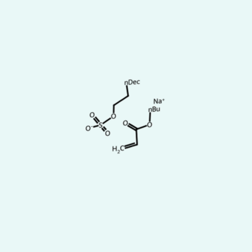 C=CC(=O)OCCCC.CCCCCCCCCCCCOS(=O)(=O)[O-].[Na+]